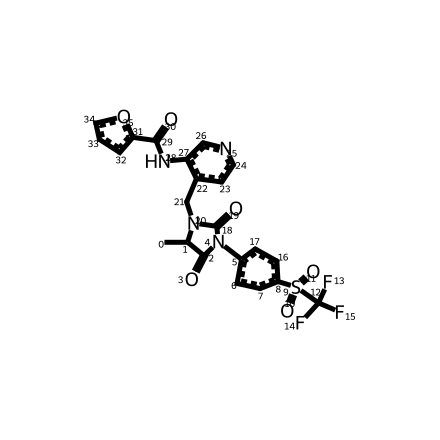 CC1C(=O)N(c2ccc(S(=O)(=O)C(F)(F)F)cc2)C(=O)N1Cc1ccncc1NC(=O)c1ccco1